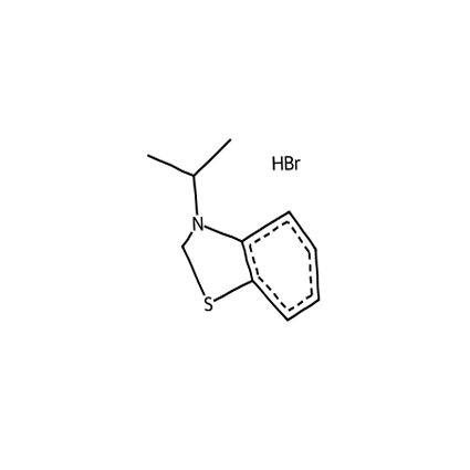 Br.CC(C)N1CSc2ccccc21